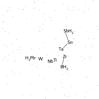 [BH2][Zr].[Nb].[PbH2].[SbH2][Sn][Ta].[Ti].[W]